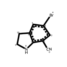 N#Cc1cc(Br)cc2c1NCC2